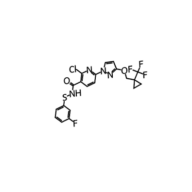 O=C(NSc1cccc(F)c1)c1ccc(-n2ccc(OCC3(C(F)(F)F)CC3)n2)nc1Cl